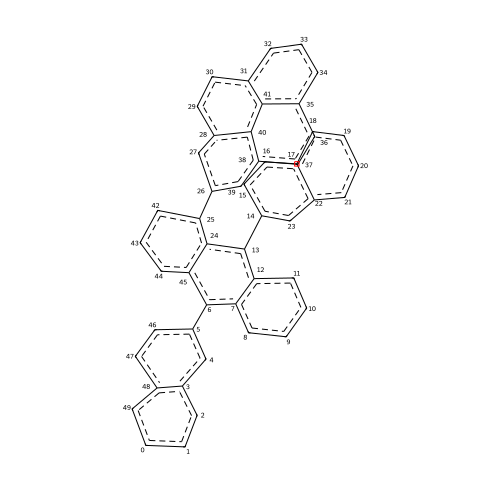 c1ccc2cc(-c3c4ccccc4c(-c4ccc5ccccc5c4)c4c(-c5cc6ccc7cccc8ccc(c5)c6c78)cccc34)ccc2c1